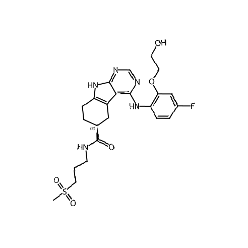 CS(=O)(=O)CCCNC(=O)[C@H]1CCc2[nH]c3ncnc(Nc4ccc(F)cc4OCCO)c3c2C1